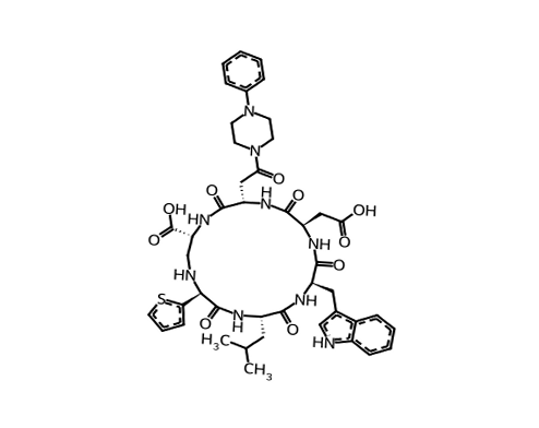 CC(C)C[C@@H]1NC(=O)[C@@H](c2cccs2)NC[C@H](C(=O)O)NC(=O)[C@H](CC(=O)N2CCN(c3ccccc3)CC2)NC(=O)[C@@H](CC(=O)O)NC(=O)[C@@H](Cc2c[nH]c3ccccc23)NC1=O